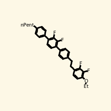 CCCCCc1ccc(-c2ccc(-c3ccc(CCc4ccc(OCC)c(F)c4F)cc3)c(F)c2F)cc1